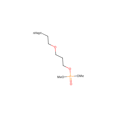 CCCCCCCCCOCCCOP(=O)(OC)OC